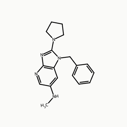 CNc1cnc2nc(N3CCCC3)n(Cc3ccccc3)c2c1